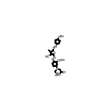 CCCCc1ccc(N=Nc2sc(N=Nc3ccc(N(CC(C)C)CC(CC)CCCC)cc3OC)c(C#N)c2C)cc1